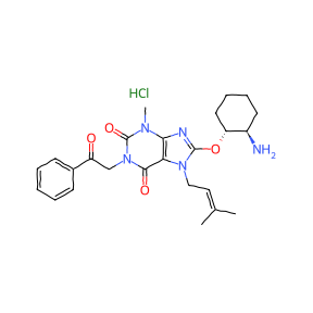 CC(C)=CCn1c(O[C@@H]2CCCC[C@H]2N)nc2c1c(=O)n(CC(=O)c1ccccc1)c(=O)n2C.Cl